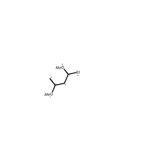 [CH2]CC(CC(C)OC)OC